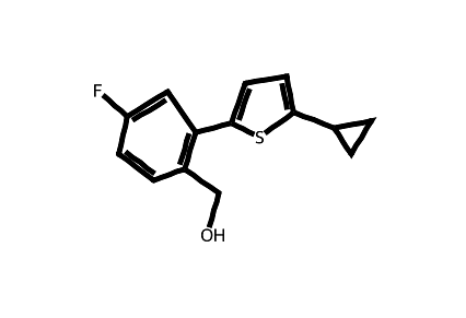 OCc1ccc(F)cc1-c1ccc(C2CC2)s1